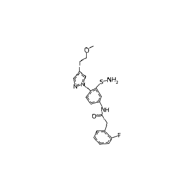 COCCc1cnn(-c2ccc(NC(=O)Cc3ccccc3F)cc2SN)c1